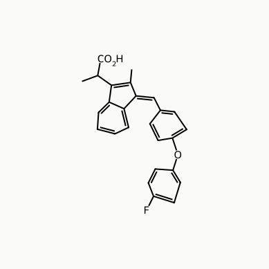 CC1=C(C(C)C(=O)O)c2ccccc2/C1=C\c1ccc(Oc2ccc(F)cc2)cc1